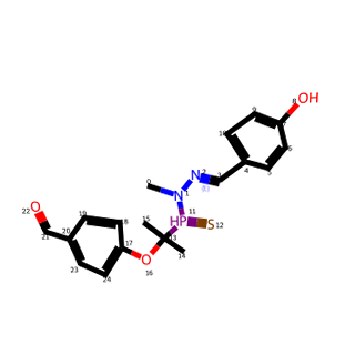 CN(/N=C/c1ccc(O)cc1)[PH](=S)C(C)(C)Oc1ccc(C=O)cc1